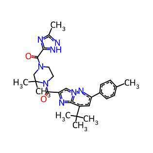 Cc1ccc(-c2cc(C(C)(C)C)c3nc(C(=O)N4CCN(C(=O)c5nc(C)n[nH]5)CC4(C)C)cn3n2)cc1